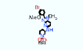 COc1cc(Br)ccc1-c1nc2nc(N[C@@H]3CCCN(C(=O)OC(C)(C)C)C3)ccc2n1C